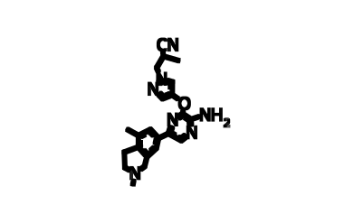 Cc1cc(-c2cnc(N)c(Oc3cnn(CC(C)C#N)c3)n2)cc2c1CCN(C)C2